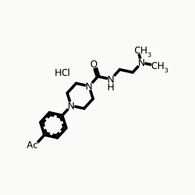 CC(=O)c1ccc(N2CCN(C(=O)NCCN(C)C)CC2)cc1.Cl